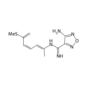 C=C(/C=C\C=C(/C)NC(=N)c1nonc1N)SC